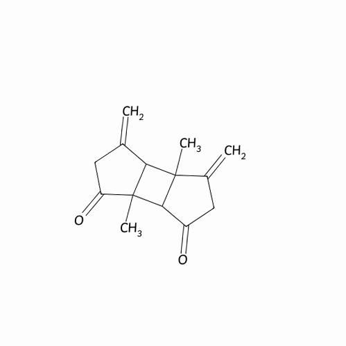 C=C1CC(=O)C2(C)C1C1(C)C(=C)CC(=O)C12